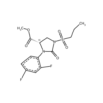 CCCS(=O)(=O)N1C[C@@H](C(=O)OC)N(c2ccc(F)cc2F)C1=O